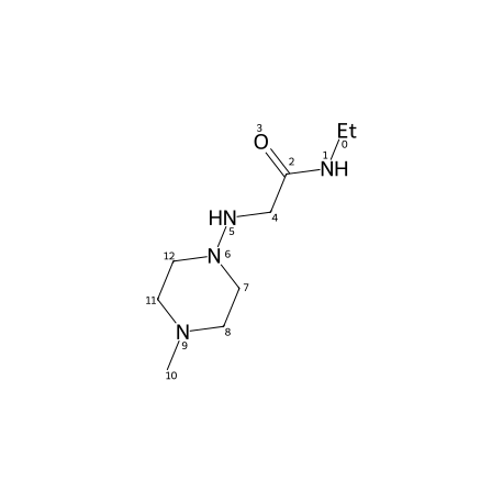 CCNC(=O)CNN1CCN(C)CC1